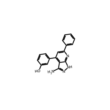 Nc1n[nH]c2nc(-c3ccccc3)cc(-c3cccc(O)c3)c12